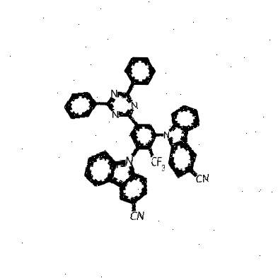 N#Cc1ccc2c(c1)c1ccccc1n2-c1cc(-c2nc(-c3ccccc3)nc(-c3ccccc3)n2)cc(-n2c3ccccc3c3cc(C#N)ccc32)c1C(F)(F)F